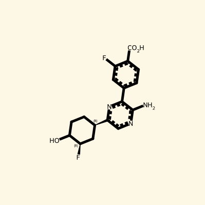 Nc1ncc([C@@H]2CCC(O)[C@H](F)C2)nc1-c1ccc(C(=O)O)c(F)c1